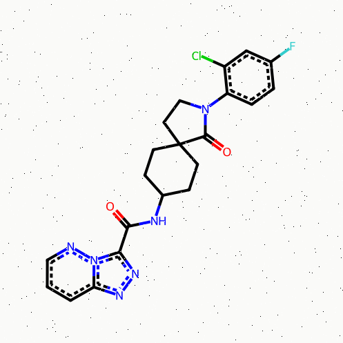 O=C(NC1CCC2(CC1)CCN(c1ccc(F)cc1Cl)C2=O)c1nnc2cccnn12